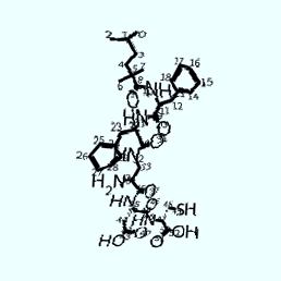 CC(C)CCC(C)(C)C(=O)NC(Cc1ccccc1)C(=O)NC(Cc1ccccc1)C(=O)NC[C@H](N)C(=O)N[C@@H](CC(=O)O)C(=O)N[C@H](CS)C(=O)O